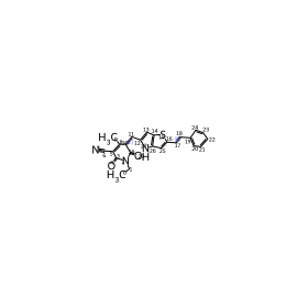 CCN1C(=O)C(C#N)=C(C)/C(=C/c2cc3sc(/C=C/c4ccccc4)cc3[nH]2)C1=O